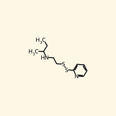 CCC(C)NCCSSc1ccccn1